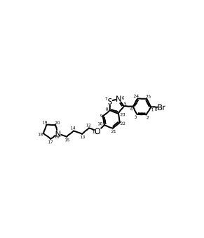 Brc1ccc(-c2nsc3cc(OCCCCN4CCCC4)ccc23)cc1